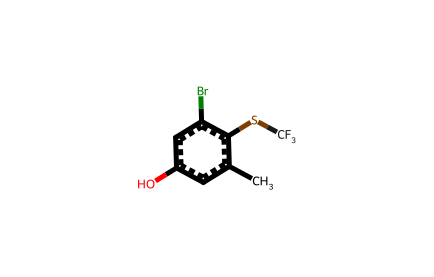 Cc1cc(O)cc(Br)c1SC(F)(F)F